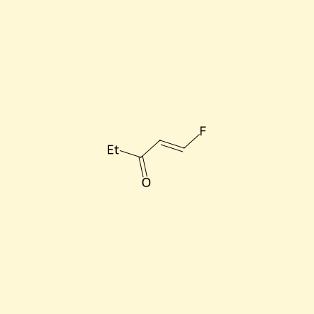 CCC(=O)/C=C/F